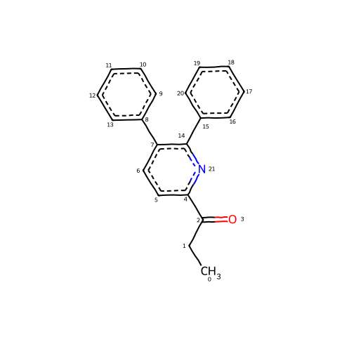 CCC(=O)c1ccc(-c2ccccc2)c(-c2ccccc2)n1